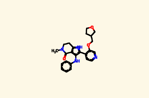 CN1CCc2[nH]c(-c3ccncc3OCC3CCOC3)c(Nc3ccccc3)c2C1=O